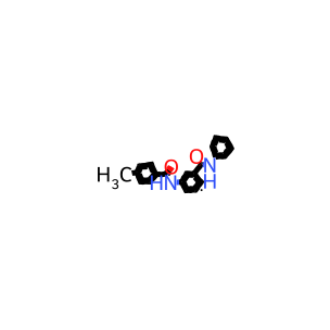 Cc1ccc(C(=O)Nc2c[c]cc(C(=O)Nc3ccccc3)c2)cc1